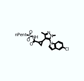 CCCCCS(=O)(=O)NC(=O)C1CC1c1c(C)nn(C)c1-n1ccc2cc(Cl)ccc21